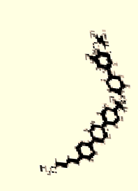 CCCCCC1CCC(C2CCC(C3CCC(C(F)(F)OC4CCC(c5ccc(OC(F)(F)F)c(F)c5)CC4)CC3)CC2)CC1